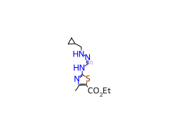 CCOC(=O)c1sc(N/C=N\NCC2CC2)nc1C